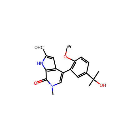 CC(C)Oc1ccc(C(C)(C)O)cc1-c1cn(C)c(=O)c2[nH]c(C=O)cc12